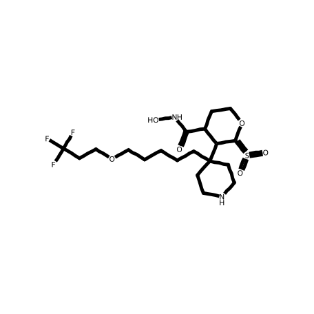 O=C(NO)C1CCOC(=S(=O)=O)C1C1(CCCCCOCCC(F)(F)F)CCNCC1